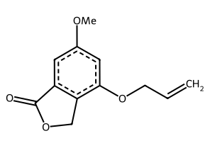 C=CCOc1cc(OC)cc2c1COC2=O